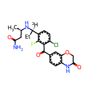 [2H][C@](CC)(N[C@H](C)CC(N)=O)c1ccc(Cl)c(C(=O)c2ccc3c(c2)OCC(=O)N3)c1F